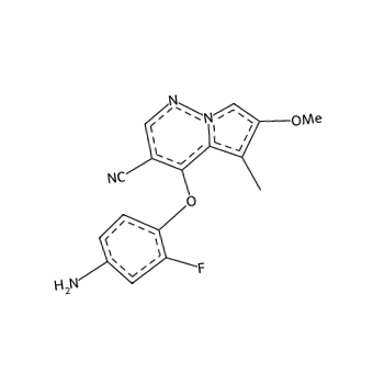 COc1cn2ncc(C#N)c(Oc3ccc(N)cc3F)c2c1C